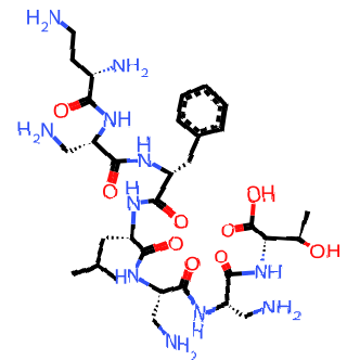 CC(C)C[C@H](NC(=O)[C@@H](Cc1ccccc1)NC(=O)[C@H](CN)NC(=O)[C@@H](N)CCN)C(=O)N[C@@H](CN)C(=O)N[C@@H](CN)C(=O)N[C@H](C(=O)O)[C@@H](C)O